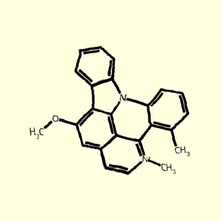 COc1cc2cc[n+](C)c3c4c(C)cccc4n4c5ccccc5c1c4c23